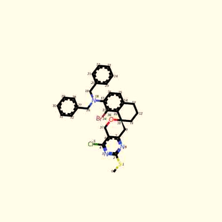 CSc1nc(Cl)c2c(n1)C[C@@]1(CCCc3ccc(N(Cc4ccccc4)Cc4ccccc4)c(Br)c31)OC2